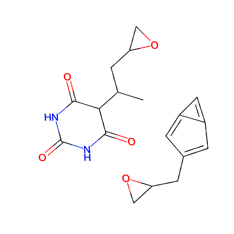 CC(CC1CO1)C1C(=O)NC(=O)NC1=O.c1c(CC2CO2)cc2cc1-2